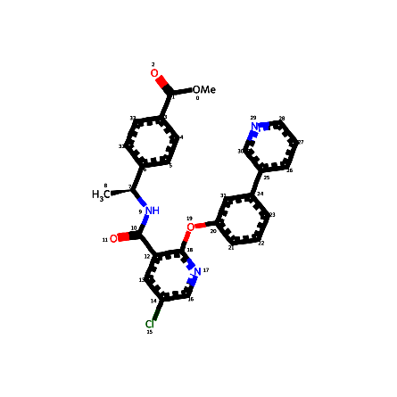 COC(=O)c1ccc([C@H](C)NC(=O)c2cc(Cl)cnc2Oc2cccc(-c3cccnc3)c2)cc1